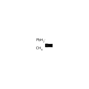 C.C#C.[PbH2]